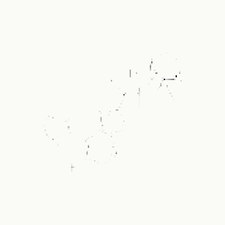 CC1(C)[C@@H](NC(=O)c2cc3ccc(F)c(-c4nccs4)c3s2)C2CCN1CC2